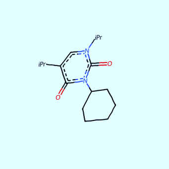 CC(C)c1cn(C(C)C)c(=O)n(C2CCCCC2)c1=O